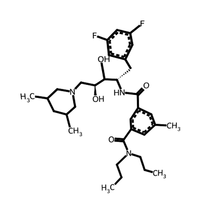 CCCN(CCC)C(=O)c1cc(C)cc(C(=O)N[C@@H](Cc2cc(F)cc(F)c2)C(O)[C@@H](O)CN2CC(C)CC(C)C2)c1